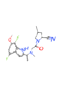 C=C(c1cc2c(F)cc(OC)c(F)c2[nH]1)N(C)CC(=O)N1CC(C)CC1C#N